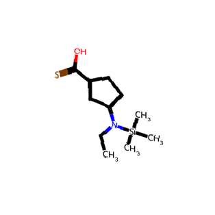 CCN(C1CCC(C(O)=S)C1)[Si](C)(C)C